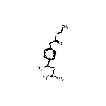 CCOC(=O)Cc1ccc(C(C)ON(C)C)cc1